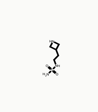 NS(=O)(=O)NCCC1CNC1